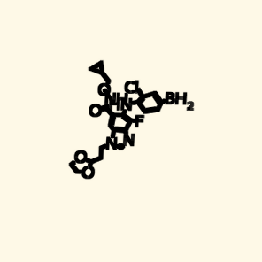 Bc1ccc(Nc2c(C(=O)NOCC3CC3)cc3c(ncn3CCC3OCCO3)c2F)c(Cl)c1